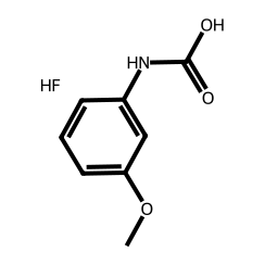 COc1cccc(NC(=O)O)c1.F